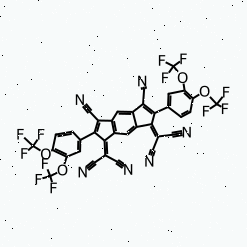 N#CC(C#N)=C1C(c2ccc(OC(F)(F)F)c(OC(F)(F)F)c2)=C(C#N)c2cc3c(cc21)C(=C(C#N)C#N)C(c1ccc(OC(F)(F)F)c(OC(F)(F)F)c1)=C3C#N